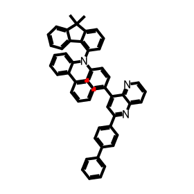 CC1(C)c2ccccc2-c2c(N(c3ccc(-c4cc(-c5ccc(-c6ccccc6)cc5)nc5cccnc45)cc3)c3ccccc3-c3ccccc3)cccc21